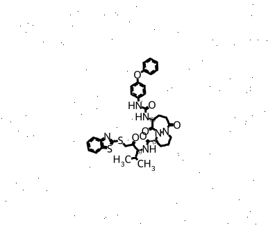 CC(C)[C@H](NC(=O)[C@@H]1CCCN2C(=O)CC[C@H](NC(=O)Nc3ccc(Oc4ccccc4)cc3)C(=O)N12)C(=O)CSc1nc2ccccc2s1